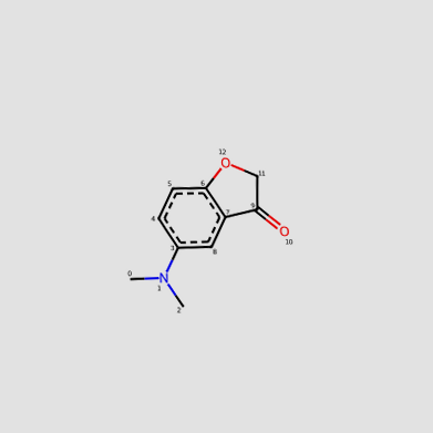 CN(C)c1ccc2c(c1)C(=O)CO2